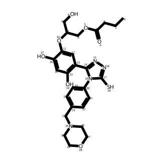 CCCC(=O)OCC(CO)Oc1cc(-c2nnc(S)n2-c2ccc(CN3CCOCC3)cc2)c(O)cc1O